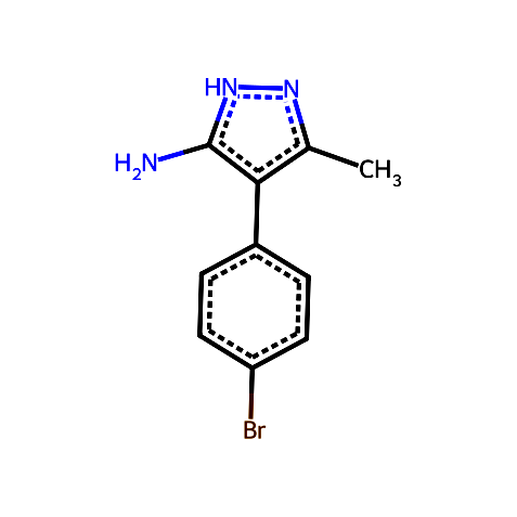 Cc1n[nH]c(N)c1-c1ccc(Br)cc1